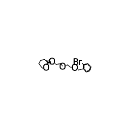 Brc1ccccc1COCCOCCO[C@@H]1CCCCO1